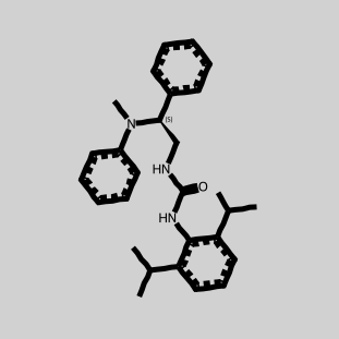 CC(C)c1cccc(C(C)C)c1NC(=O)NC[C@H](c1ccccc1)N(C)c1ccccc1